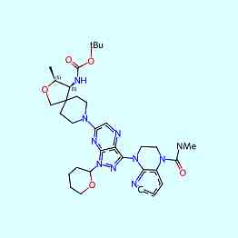 CNC(=O)N1CCN(c2nn(C3CCCCO3)c3nc(N4CCC5(CC4)CO[C@@H](C)[C@H]5NC(=O)OC(C)(C)C)cnc23)c2ncccc21